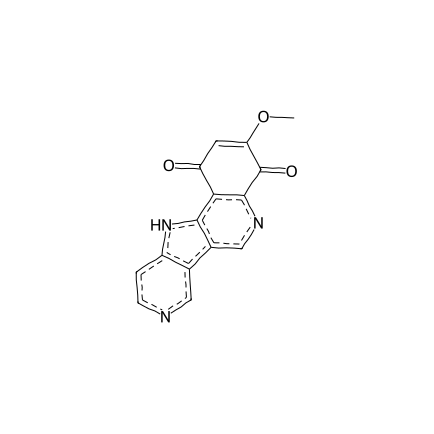 COC1=CC(=O)c2c(ncc3c2[nH]c2ccncc23)C1=O